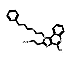 COCCc1nc2c(N)nc3ccccc3c2n1CCOCCCc1ccccc1